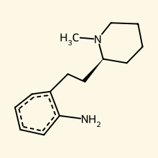 CN1CCCC[C@H]1CCc1ccccc1N